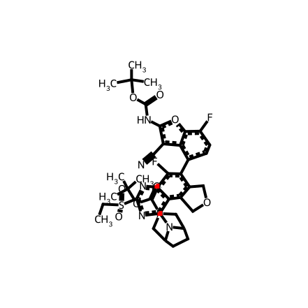 CCS(=O)(=O)c1nc(N2C3CCC2CN(C(=O)OC(C)(C)C)C3)c2c3c(c(-c4ccc(F)c5oc(NC(=O)OC(C)(C)C)c(C#N)c45)c(F)c2n1)COC3